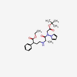 CCOC(=O)C(CCN[C@@H](C)C(=O)N(CC(=O)OC(C)(C)C)n1cccc1)c1ccccc1